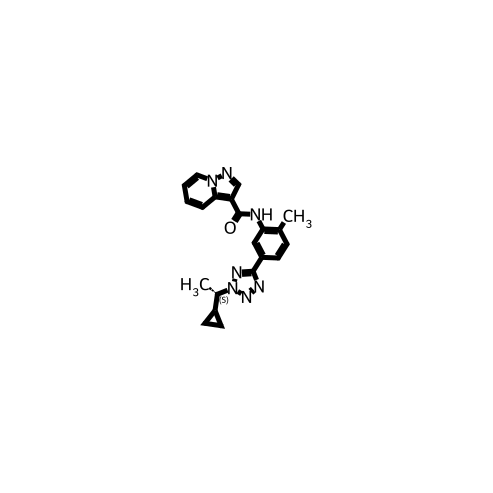 Cc1ccc(-c2nnn([C@@H](C)C3CC3)n2)cc1NC(=O)c1cnn2ccccc12